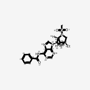 CC[C@@]12CN(S(C)(=O)=O)[C@@H]([C@H](n3cnc4c(NC(=O)c5ccccc5)ncnc43)O1)[C@@H]2O